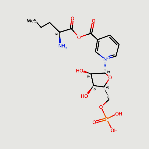 CSCC[C@H](N)C(=O)OC(=O)c1ccc[n+]([C@@H]2O[C@H](COP(=O)(O)O)[C@@H](O)[C@H]2O)c1